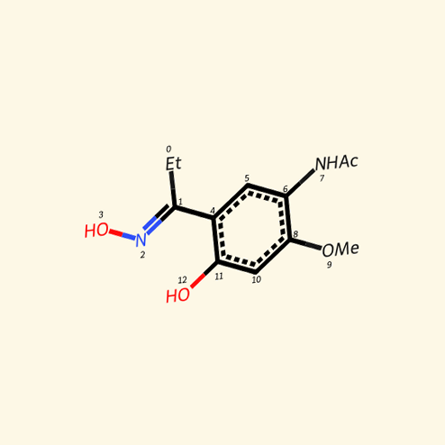 CCC(=NO)c1cc(NC(C)=O)c(OC)cc1O